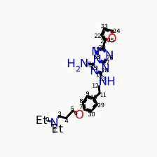 CCN(CC)CCCOc1ccc(CCNc2nc(N)n3nc(-c4ccco4)nc3n2)cc1